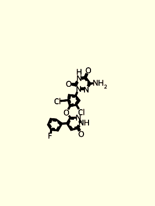 Nc1nn(-c2cc(Cl)c(Oc3n[nH]c(=O)cc3-c3cccc(F)c3)c(Cl)c2)c(=O)[nH]c1=O